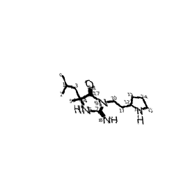 CC(C)CC1(C)NC(=N)N(CCC2CCCN2)C1=O